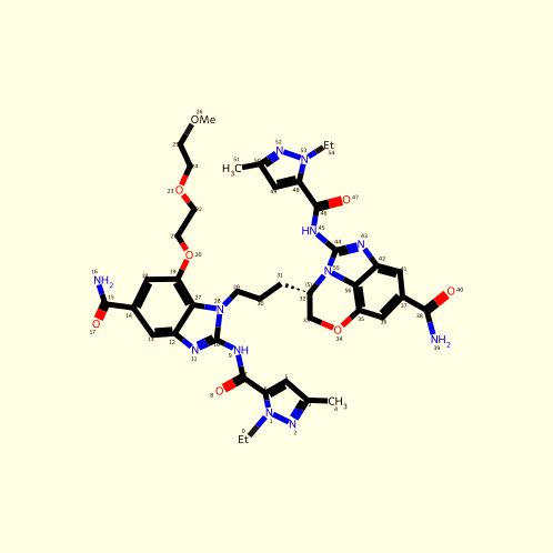 CCn1nc(C)cc1C(=O)Nc1nc2cc(C(N)=O)cc(OCCOCCOC)c2n1CCC[C@H]1COc2cc(C(N)=O)cc3nc(NC(=O)c4cc(C)nn4CC)n1c23